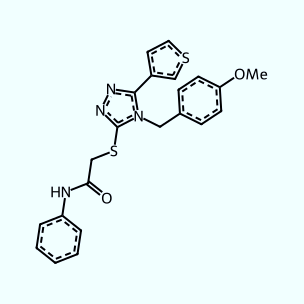 COc1ccc(Cn2c(SCC(=O)Nc3ccccc3)nnc2-c2ccsc2)cc1